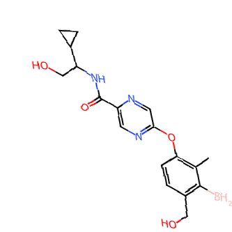 Bc1c(CO)ccc(Oc2cnc(C(=O)NC(CO)C3CC3)cn2)c1C